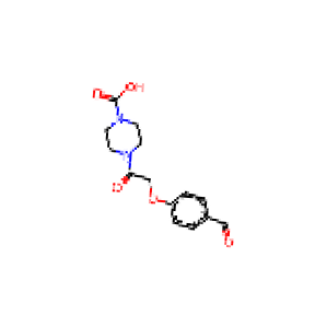 O=Cc1ccc(OCC(=O)N2CCN(C(=O)O)CC2)cc1